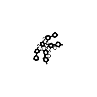 Cc1ccc2c(c1)oc1c3c4c(cc12)B1c2cc(-c5ccccc5)ccc2Sc2cc5c6c(c21)N4c1c(cc2c(oc4cc(C)ccc42)c1S3)B6c1cc(-c2ccccc2)ccc1S5